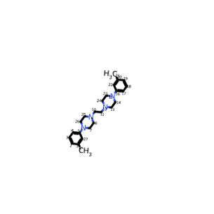 Cc1cccc(N2CCN(CCN3CCN(c4cccc(C)c4)CC3)CC2)c1